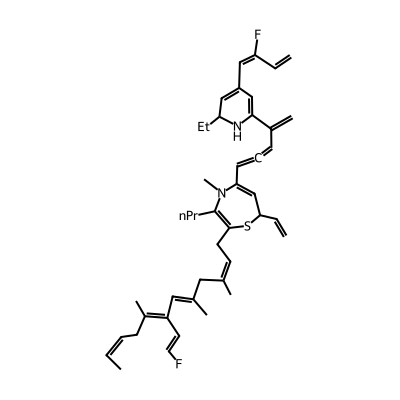 C=C/C(F)=C\C1=CC(CC)NC(C(=C)C=C=CC2=CC(C=C)SC(CC=C(C)C/C(C)=C/C(/C=C/F)=C(\C)C/C=C\C)=C(CCC)N2C)=C1